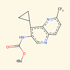 CC(C)(C)OC(=O)Nc1cnc2ccc(C(F)(F)F)nc2c1C1CC1